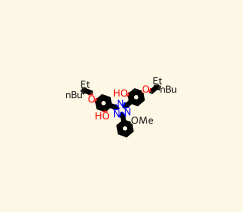 CCCCC(CC)COc1ccc(-c2nc(-c3ccc(OCC(CC)CCCC)cc3O)nc(-c3ccccc3OC)n2)c(O)c1